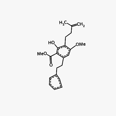 C=C(C)CCc1c(OC)cc(CCc2ccccc2)c(C(=O)OC)c1O